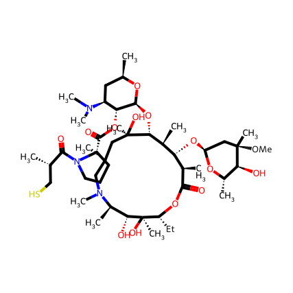 CC[C@H]1OC(=O)[C@H](C)[C@@H](O[C@H]2C[C@@](C)(OC)[C@@H](O)[C@H](C)O2)[C@H](C)[C@@H](O[C@@H]2O[C@H](C)C[C@H](N(C)C)[C@H]2OC(=O)[C@@H]2CCCN2C(=O)[C@@H](C)CS)[C@](C)(O)C[C@@H](C)CN(C)[C@H](C)[C@@H](O)[C@]1(C)O